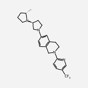 C[C@H]1CCCN1[C@H]1CCN(c2ccc3c(c2)CCN(c2ccc(C(F)(F)F)cn2)C3)C1